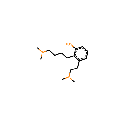 CP(C)CCCCc1c(P)cccc1CCP(C)C